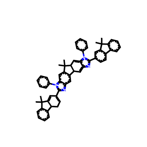 CC1(C)C2=CC(c3nc4cc5c(cc4n3-c3ccccc3)C(C)(C)C3C=c4c(nc(-c6ccc7c(c6)C(C)(C)c6ccccc6-7)n4-c4ccccc4)=CC53)=CCC2c2ccccc21